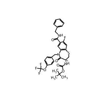 CC(C)(C)OC(=O)N[C@H]1CSc2cc(F)c(C(=O)NCc3ccccc3)cc2N(Cc2ccc(OC(F)(F)F)cc2)C1=O